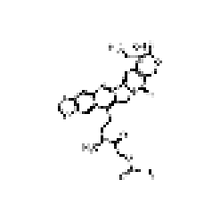 CC[C@@]1(O)C(=O)OCc2c1cc1n(c2=O)Cc2c-1nc1cc3c(cc1c2CCN(C)C(=O)COC(C)=O)OCO3